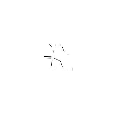 CCCCP.CCOP(=O)(O)CC(=O)O